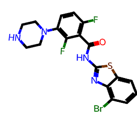 O=C(Nc1nc2c(Br)cccc2s1)c1c(F)ccc(N2CCNCC2)c1F